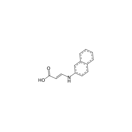 O=C(O)C=CNc1ccc2ccccc2c1